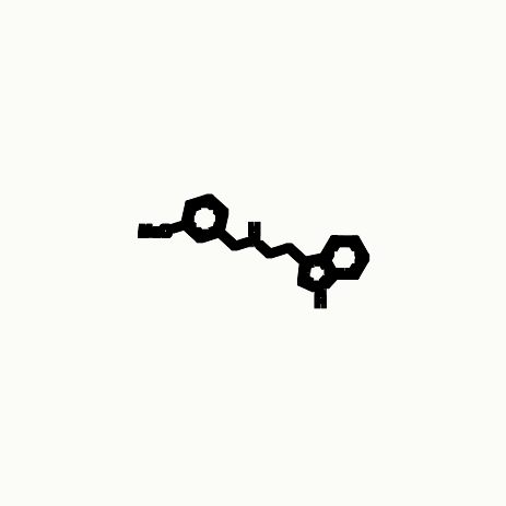 COc1cccc(CNCCc2c[nH]c3ccccc23)c1